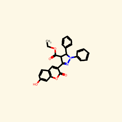 CCOC(=O)C1C(c2cc3ccc(O)cc3oc2=O)=NN(c2ccccc2)C1c1ccccc1